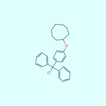 ClC(c1ccccc1)(c1ccccc1)c1ccc(OC2CCCCCCC2)cc1